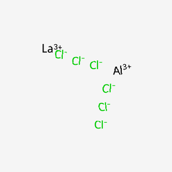 [Al+3].[Cl-].[Cl-].[Cl-].[Cl-].[Cl-].[Cl-].[La+3]